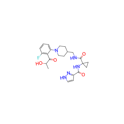 CC(O)C(=O)c1c(F)cccc1N1CCC(CNC(=O)C2(NC(=O)c3cc[nH]n3)CC2)CC1